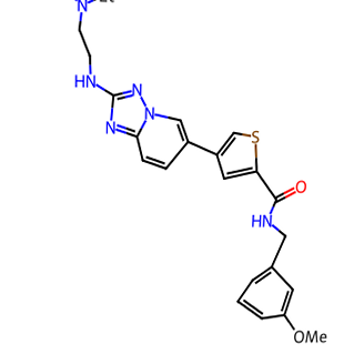 CCN(CC)CCNc1nc2ccc(-c3csc(C(=O)NCc4cccc(OC)c4)c3)cn2n1